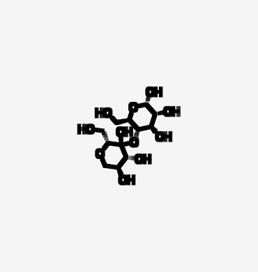 OC[C@H]1O[C@H](O)[C@H](O)[C@@H](O)[C@@H]1O[C@]1(O)[C@H](O)[C@@H](O)CO[C@@H]1CO